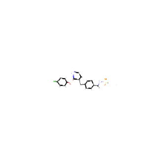 C[C@H](NS(C)(=O)=O)c1ccc(Cc2cccnc2Oc2ccc(Cl)cc2)cc1